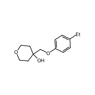 CCc1ccc(OCC2(O)CCOCC2)cc1